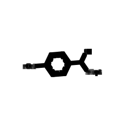 CCCCCCCCc1ccc(C(S)CCCCCCC)cc1